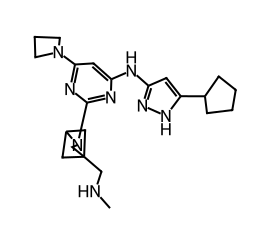 CNCC12CC(C1)N(c1nc(Nc3cc(C4CCCC4)[nH]n3)cc(N3CCC3)n1)C2